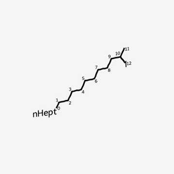 CCCCCCCCCCCCCCCCC(C)I